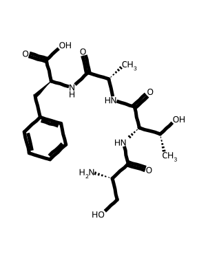 C[C@H](NC(=O)[C@@H](NC(=O)[C@@H](N)CO)[C@@H](C)O)C(=O)N[C@@H](Cc1ccccc1)C(=O)O